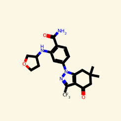 CC1(C)CC(=O)c2c(C(F)(F)F)nn(-c3ccc(C(N)=O)c(NC4CCOC4)c3)c2C1